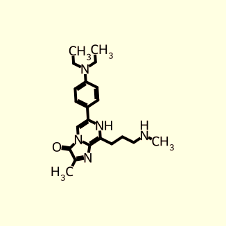 CCN(CC)c1ccc(-c2cn3c(=O)c(C)nc-3c(CCCNC)[nH]2)cc1